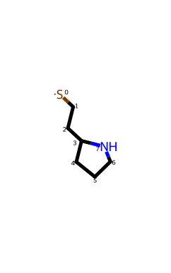 [S]CCC1CCCN1